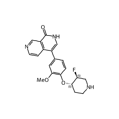 COc1cc(-c2c[nH]c(=O)c3cnccc23)ccc1O[C@H]1CCNC[C@@H]1F